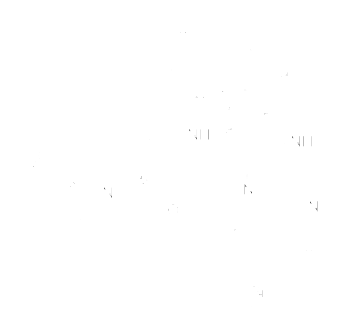 C=C1CN1C(=O)CNC12CC3CC(C1)CC(Nc1ncc(Br)cn1)(C3)C2